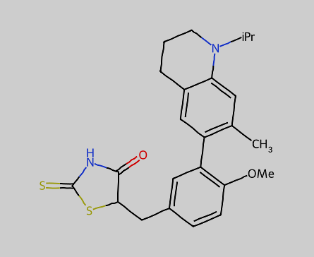 COc1ccc(CC2SC(=S)NC2=O)cc1-c1cc2c(cc1C)N(C(C)C)CCC2